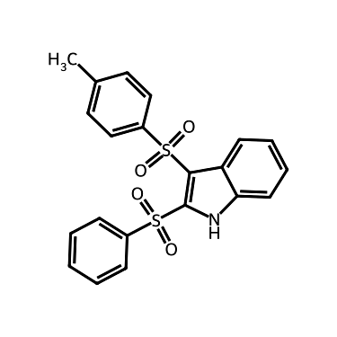 Cc1ccc(S(=O)(=O)c2c(S(=O)(=O)c3ccccc3)[nH]c3ccccc23)cc1